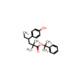 CCC(CC(C)(C)C(=O)OC(C)(C)c1ccccc1)c1ccc(O)cc1